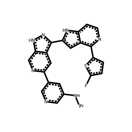 CC(C)Nc1cncc(-c2cc3c(-c4cc5c(-c6ccc(F)s6)nccc5[nH]4)n[nH]c3cn2)c1